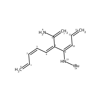 C=C\C=C/C=C(C(=C)N)/C(=C\C=C)NC(C)(C)C